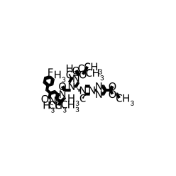 CCOC(=O)c1cnc(N2CCN(C[C@H]3CN(C(=O)OC(C)(C)C)[C@H](C)CN3CC(=O)N3CC(C)(C)c4c3cc(Cc3ccc(F)cc3)c(=O)n4C)[C@H](C)C2)nc1